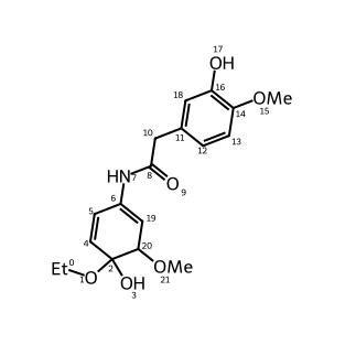 CCOC1(O)C=CC(NC(=O)Cc2ccc(OC)c(O)c2)=CC1OC